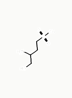 NC(CO)CCS(=O)(=O)O